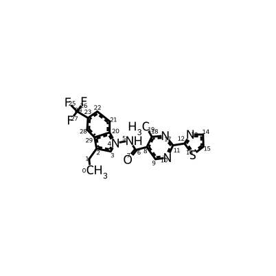 CCc1cn(NC(=O)c2cnc(-c3nccs3)nc2C)c2ccc(C(F)(F)F)cc12